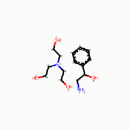 NCC(O)c1ccccc1.OCCN(CCO)CCO